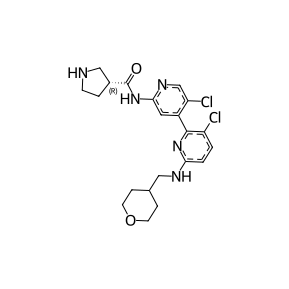 O=C(Nc1cc(-c2nc(NCC3CCOCC3)ccc2Cl)c(Cl)cn1)[C@@H]1CCNC1